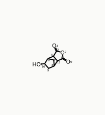 O=C1OC(=O)C2C3CC(CC3O)C12